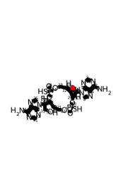 Nc1ncnc2c1ncn2[C@@H]1O[C@@H]2COP(=O)(S)O[C@@H]3[C@@H](COP(=O)(S)O[C@@H]1[C@@H]2O)OC[C@@]3(F)n1cnc2c(N)ncnc21